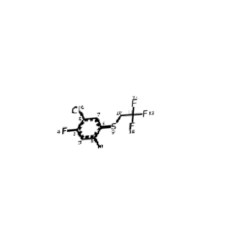 Cc1cc(F)c(Cl)cc1SCC(F)(F)F